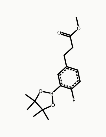 COC(=O)CCc1ccc(F)c(B2OC(C)(C)C(C)(C)O2)c1